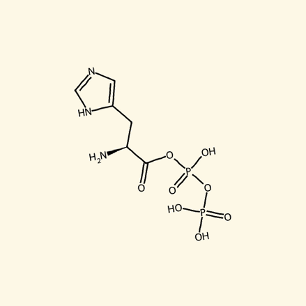 N[C@@H](Cc1cnc[nH]1)C(=O)OP(=O)(O)OP(=O)(O)O